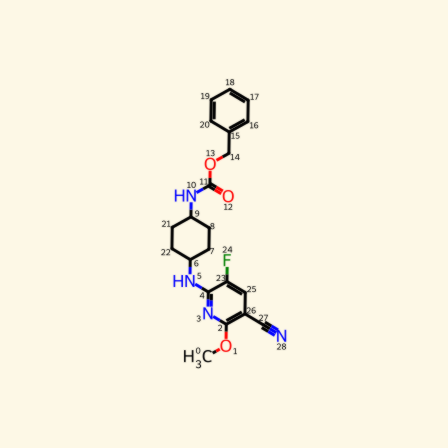 COc1nc(NC2CCC(NC(=O)OCc3ccccc3)CC2)c(F)cc1C#N